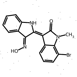 CN1C(=O)/C(=C2\Nc3ccccc3\C2=N/O)c2cccc(Br)c21